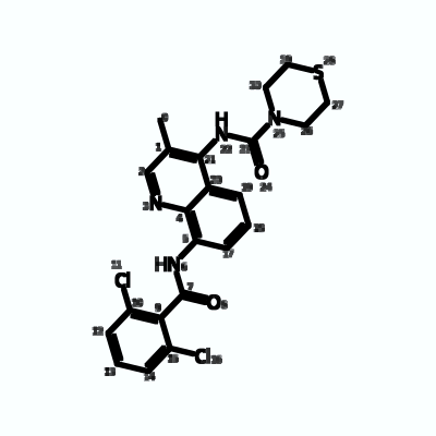 Cc1cnc2c(NC(=O)c3c(Cl)cccc3Cl)cccc2c1NC(=O)N1CCSCC1